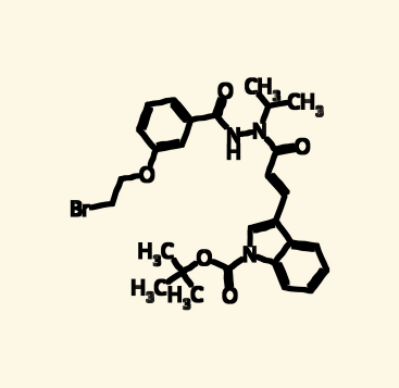 CC(C)N(NC(=O)c1cccc(OCCBr)c1)C(=O)/C=C/c1cn(C(=O)OC(C)(C)C)c2ccccc12